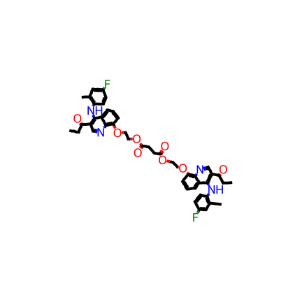 CCC(=O)c1cnc2c(OCCOC(=O)CCC(=O)OCCOc3cccc4c(Nc5ccc(F)cc5C)c(C(=O)CC)cnc34)cccc2c1Nc1ccc(F)cc1C